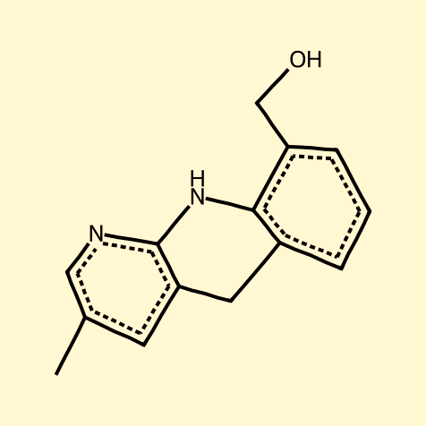 Cc1cnc2c(c1)Cc1cccc(CO)c1N2